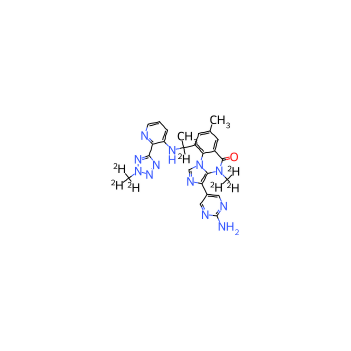 [2H]C(C)(Nc1cccnc1-c1nnn(C([2H])([2H])[2H])n1)c1cc(C)cc2c(=O)n(C([2H])([2H])[2H])c3c(-c4cnc(N)nc4)ncn3c12